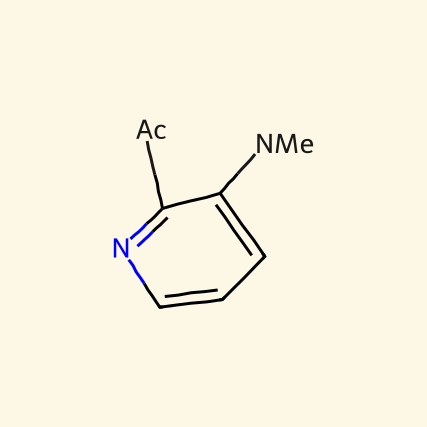 CNc1cccnc1C(C)=O